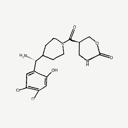 N[C@@H](c1cc(Cl)c(Cl)cc1O)C1CCN(C(=O)[C@@H]2CNC(=O)OC2)CC1